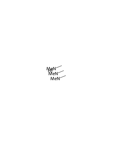 CNC.CNC.CNC.[Hf]